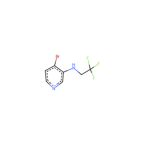 FC(F)(F)CNc1cnccc1Br